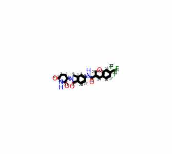 O=C1CCC(N2Cc3cc(NC(=O)C4=Cc5ccc(C(F)(F)F)cc5OC4)ccc3C2=O)C(=O)N1